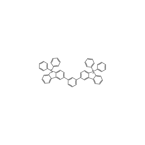 c1ccc(S2(c3ccccc3)c3ccccc3-c3cc(-c4cccc(-c5ccc6c(c5)-c5ccccc5S6(c5ccccc5)c5ccccc5)c4)ccc32)cc1